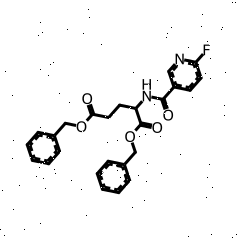 O=C(CCC(NC(=O)c1ccc(F)nc1)C(=O)OCc1ccccc1)OCc1ccccc1